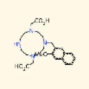 COc1cc2ccccc2cc1CN1CCN(CC(=O)O)CCNCCN(CC(=O)O)CC1